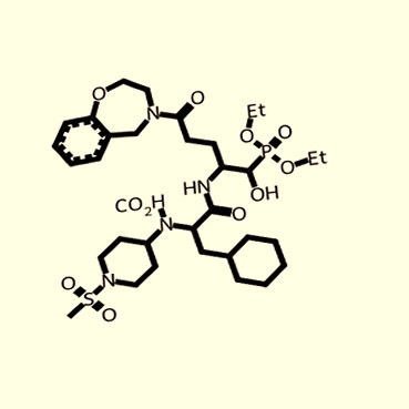 CCOP(=O)(OCC)C(O)C(CCC(=O)N1CCOc2ccccc2C1)NC(=O)C(CC1CCCCC1)N(C(=O)O)C1CCN(S(C)(=O)=O)CC1